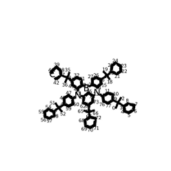 CC(C)(c1ccccc1)c1ccc(N2c3cc(C(C)(C)c4ccccc4)ccc3B3c4ccc(C(C)(C)c5ccccc5)cc4N(c4ccc(C(C)(C)c5ccccc5)cc4)c4cc(C(C)(C)c5ccccc5)cc2c43)cc1